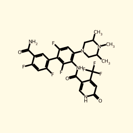 CC1CN(c2cc(F)c(-c3cc(C(N)=O)c(F)cc3F)c(F)c2NC(=O)c2c[nH]c(=O)cc2C(F)(F)F)CC(C)N1C